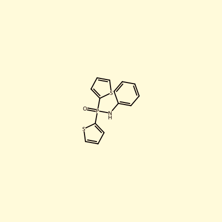 O=P(Nc1ccccc1)(c1cccs1)c1cccs1